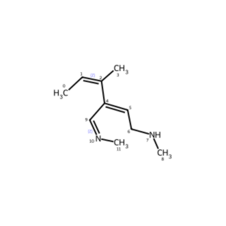 C/C=C(/C)C(=CCNC)/C=N\C